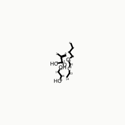 C=C(C)C(=O)O.CCCCOCCCC.OCCO